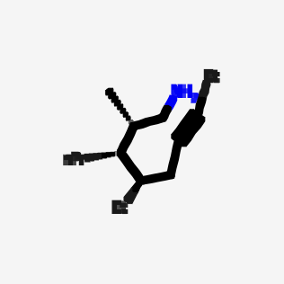 CCC#CC[C@@H](CC)[C@H](CCC)[C@H](C)CN